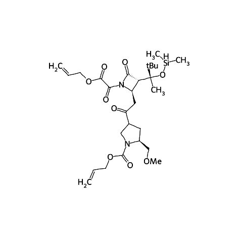 C=CCOC(=O)C(=O)N1C(=O)[C@H]([C@@](C)(O[SiH](C)C)C(C)(C)C)[C@H]1CC(=O)C1C[C@@H](COC)N(C(=O)OCC=C)C1